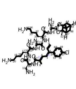 C=C/C(=C\C=C(/C)C(=O)N[C@@H](CN)C(=O)N[C@@H](CCCCN)C(=O)N[C@@H](N)C(=O)N[C@@H](CCCCN)C(=O)N[C@@H](N)B1OC2C[C@@H]3C[C@@H](C3(C)C)[C@]2(C)O1)c1ccc(Cl)cc1